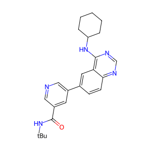 CC(C)(C)NC(=O)c1cncc(-c2ccc3ncnc(NC4CCCCC4)c3c2)c1